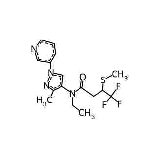 CCN(C(=O)CC(SC)C(F)(F)F)c1cn(-c2cccnc2)nc1C